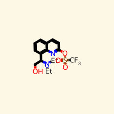 CCN(CC)C(CO)c1cccc2ccc(OS(=O)(=O)C(F)(F)F)nc12